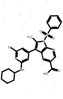 Cc1c(-c2cc(Cl)nc(NC3CCCCC3)c2)c2cc(C(=O)O)cnc2n1S(=O)(=O)c1ccccc1